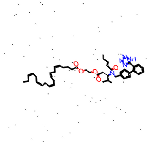 CC/C=C\C/C=C\C/C=C\C/C=C\C/C=C\CCCC(=O)OCCOC(=O)C[C@H](C(C)C)N(Cc1ccc(-c2ccccc2-c2nnn[nH]2)cc1)C(=O)CCCC